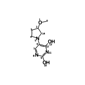 COC1CCN(c2cnc(O)nc2O)C1